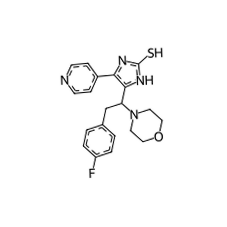 Fc1ccc(CC(c2[nH]c(S)nc2-c2ccncc2)N2CCOCC2)cc1